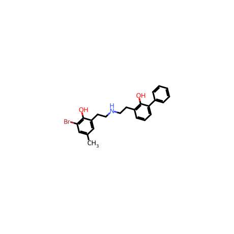 Cc1cc(Br)c(O)c(CCNCCc2cccc(-c3ccccc3)c2O)c1